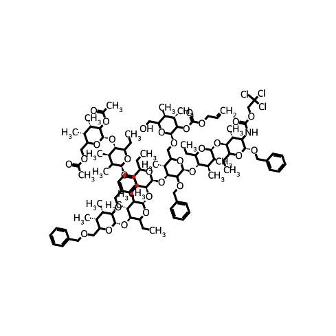 C=CCOC(=O)OC1[C@@H](OCC2O[C@@H](O[C@@H]3C(CC)O[C@@H](O[C@@H]4C(CC)O[C@@H](OCc5ccccc5)C(NC(=O)OCC(Cl)(Cl)Cl)[C@H]4C)C(C)[C@H]3C)C(OCc3ccccc3)[C@@H](O[C@@H]3OC(CC)[C@H](O[C@@H]4OC(CC)[C@@H](O[C@@H]5OC(COC(C)=O)[C@H](C)[C@H](C)C5OC(C)=O)[C@H](C)C4C)C(C)[C@@H]3O[C@@H]3OC(CC)[C@@H](O[C@@H]4OC(COCc5ccccc5)[C@H](C)[C@H](C)C4OCc4ccccc4)[C@H](C)C3C)[C@@H]2C)OC(CO)[C@@H](C)[C@@H]1C